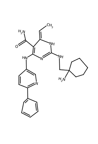 CC=C1NC(NCC2(N)CCCCC2)=NC(Nc2ccc(-c3ccccc3)nc2)=C1C(N)=O